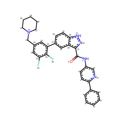 O=C(Nc1ccc(-c2ccccc2)nc1)c1n[nH]c2ccc(-c3cc(CN4CCCCC4)cc(F)c3F)cc12